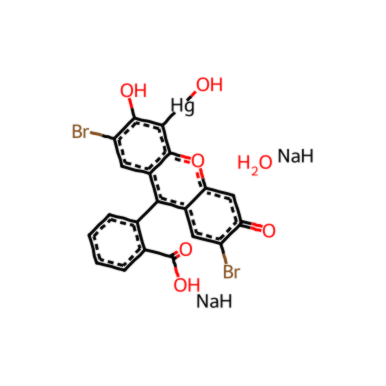 O.O=C(O)c1ccccc1-c1c2cc(Br)c(=O)cc-2oc2[c]([Hg][OH])c(O)c(Br)cc12.[NaH].[NaH]